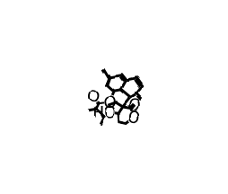 CCC(C)C(=O)OC1CC(C)C=C2C=CC(C)C(C3(CC)C(=O)OCCC3O)C21